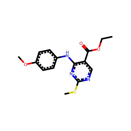 CCOC(=O)c1cnc(SC)nc1Nc1ccc(OC)cc1